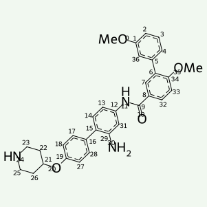 COc1cccc(-c2cc(C(=O)Nc3ccc(-c4ccc(OC5CCNCC5)cc4)c(N)c3)ccc2OC)c1